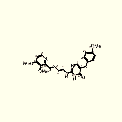 COc1ccc(Cc2cnc(NCCSCc3nccc(OC)c3OC)[nH]c2=O)cc1